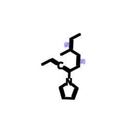 CC=C=C(/C=C\C(C)=C/C)n1cccc1